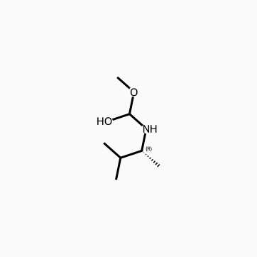 COC(O)N[C@H](C)C(C)C